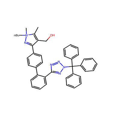 CCCC[N+]1(C)N=C(c2ccc(-c3ccccc3-c3nnn(C(c4ccccc4)(c4ccccc4)c4ccccc4)n3)cc2)C(CO)=C1C